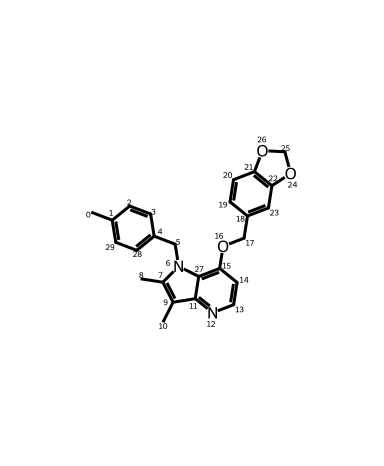 Cc1ccc(Cn2c(C)c(C)c3nccc(OCc4ccc5c(c4)OCO5)c32)cc1